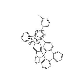 Cc1cccc(-c2nc(-c3ccccc3)nc(-c3ccc4c(c3)C3(c5ccccc5-c5ccccc5-4)c4ccccc4-c4cc5c(cc43)-c3ccccc3S5(=O)=O)n2)c1